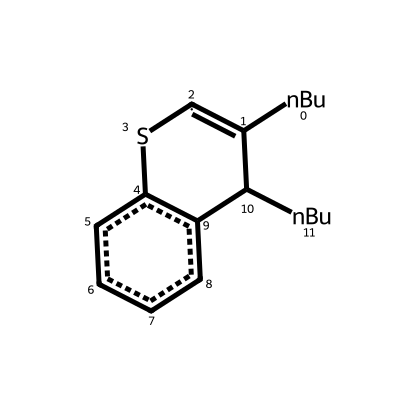 CCCCC1=[C]Sc2ccccc2C1CCCC